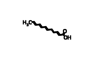 C/C=C/C=C/C=C/CC/C=C/C(=O)O